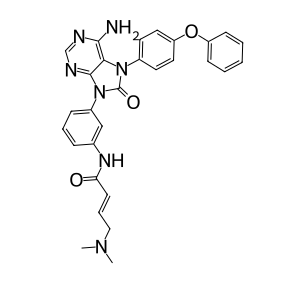 CN(C)CC=CC(=O)Nc1cccc(-n2c(=O)n(-c3ccc(Oc4ccccc4)cc3)c3c(N)ncnc32)c1